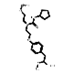 CCCCCOCCN(CCOc1ccc(CC(OCC)C(=O)O)cc1)C(=O)NC1CCCC1